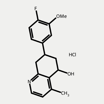 COc1cc(C2Cc3nccc(C)c3C(O)C2)ccc1F.Cl